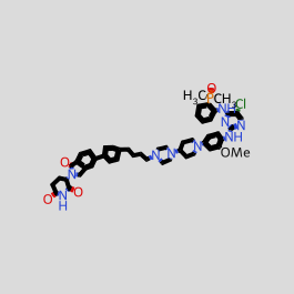 COc1cc(N2CCC(N3CCN(CCCCc4ccc(-c5ccc6c(c5)CN(C5CCC(=O)NC5=O)C6=O)cc4)CC3)CC2)ccc1Nc1ncc(Cl)c(Nc2ccccc2P(C)(C)=O)n1